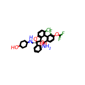 NC(=O)c1ccc(OC(F)F)c(F)c1-c1c(Cl)ccc2c1[C@H](O)[C@@](CNC1CCC(O)CC1)(c1ccccc1)O2